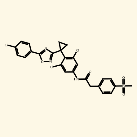 CS(=O)(=O)c1ccc(CC(=O)Nc2cc(Cl)c(C3(c4noc(-c5ccc(Cl)cc5)n4)CC3)c(Cl)c2)cc1